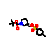 Cc1ccc(S(=O)(=O)OC[C@H]2CCCN(C(=O)OC(C)(C)C)C2)cc1